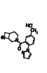 Cc1ccc(-n2cccn2)c(C(=O)N2CCC3CNC3C2)c1.Cl